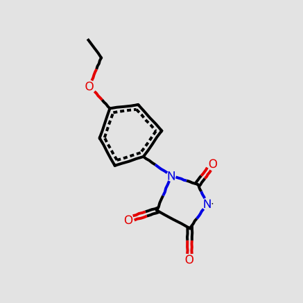 CCOc1ccc(N2C(=O)[N]C(=O)C2=O)cc1